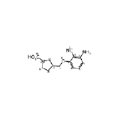 N#Cc1c(N)cccc1OC[C@H]1CCN(C(=O)O)C1